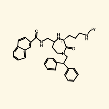 CC(C)NCCC[C@@H]1NC(CNC(=O)c2ccc3ccccc3c2)CCN(CC(c2ccccc2)c2ccccc2)C1=O